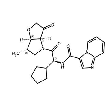 C[C@H]1CN(C(=O)[C@@H](NC(=O)c2cnc3ccccn23)C2CCCC2)[C@@H]2C(=O)CO[C@@H]21